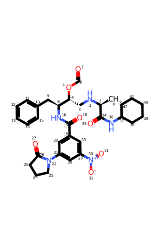 C[C@H](NC[C@@H](OC=O)[C@H](Cc1ccccc1)NC(=O)c1cc(N2CCCC2=O)cc([N+](=O)[O-])c1)C(=O)NC1CCCCC1